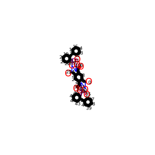 O=c1c2cc3c(=O)n(OP4(=O)Oc5ccccc5-c5ccccc54)c(=O)c3cc2c(=O)n1OP1(=O)Oc2ccccc2-c2ccccc21